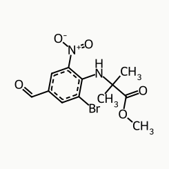 COC(=O)C(C)(C)Nc1c(Br)cc(C=O)cc1[N+](=O)[O-]